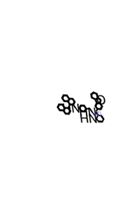 N=C1C=CC=C/C1=C(/NCc1ccc(Nc2ccc3ccccc3c2-c2cccc3ccccc23)cc1)c1ccc2oc3ccccc3c2c1